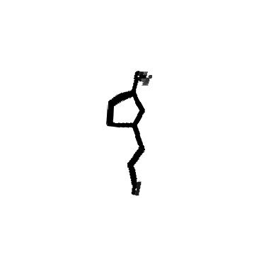 [CH2]C1CCC(CCCl)C1